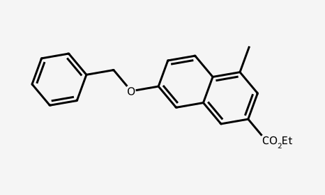 CCOC(=O)c1cc(C)c2ccc(OCc3ccccc3)cc2c1